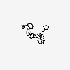 O=C(CCC1CCCCC1)N/C(=C\c1ccc(Oc2ccccc2Br)cc1)C(=O)O